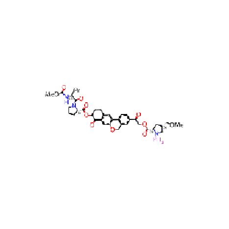 COC[C@H]1C[C@@H](C(=O)OCC(=O)c2ccc3c(c2)COc2cc4c(cc2-3)CCC(OC(=O)[C@@H]2CCCN2C(=O)[C@@H](NC(=O)OC)C(C)C)C4=O)N(P)C1